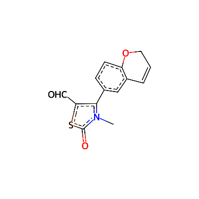 Cn1c(-c2ccc3c(c2)C=CCO3)c(C=O)sc1=O